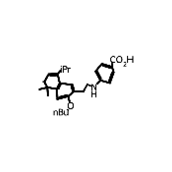 CCCCOc1cc2c(cc1CCNc1ccc(C(=O)O)cc1)C(C(C)C)=CCC2(C)C